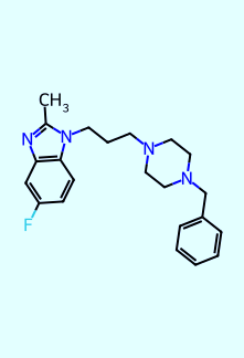 Cc1nc2cc(F)ccc2n1CCCN1CCN(Cc2ccccc2)CC1